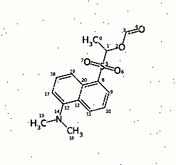 CC(O[C]=O)S(=O)(=O)c1cccc2c(N(C)C)cccc12